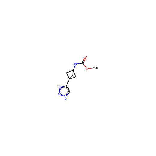 CC(C)(C)OC(=O)NC12CC(c3c[nH]nn3)(C1)C2